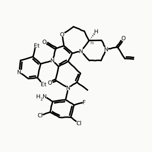 C=CC(=O)N1CCN2c3c(c(=O)n(-c4c(CC)cncc4CC)c4c(=O)n(-c5c(N)c(Cl)cc(Cl)c5F)c(C)cc34)OCC[C@H]2C1